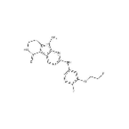 Cn1c2c(c3ccc(Nc4ccc(F)c(OCCF)c4)nc31)C(=O)NCC2